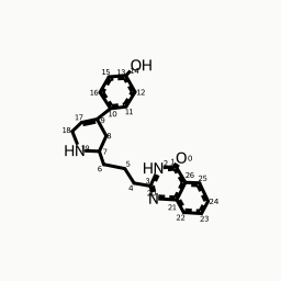 O=c1[nH]c(CCCC2CC(c3ccc(O)cc3)=CCN2)nc2ccccc12